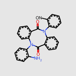 Nc1ccccc1N1C(=O)c2ccccc2N(c2ccccc2N=O)C(=O)c2ccccc21